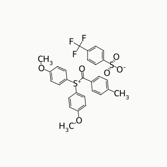 COc1ccc([S+](C(=O)c2ccc(C)cc2)c2ccc(OC)cc2)cc1.O=S(=O)([O-])c1ccc(C(F)(F)F)cc1